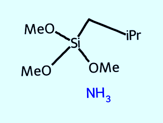 CO[Si](CC(C)C)(OC)OC.N